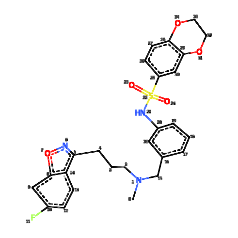 CN(CCCc1noc2cc(F)ccc12)Cc1cccc(NS(=O)(=O)c2ccc3c(c2)OCCO3)c1